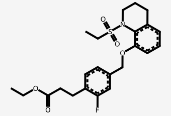 CCOC(=O)CCc1ccc(COc2cccc3c2N(S(=O)(=O)CC)CCC3)cc1F